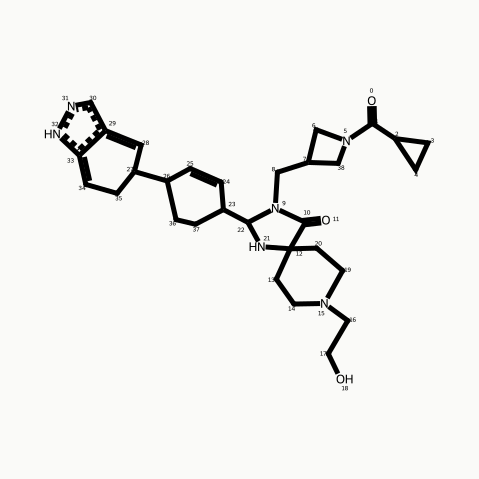 O=C(C1CC1)N1CC(CN2C(=O)C3(CCN(CCO)CC3)NC2C2C=CC(C3C=c4cn[nH]c4=CC3)CC2)C1